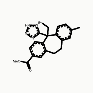 COC(=O)c1ccc2c(c1)CCc1cc(C)ccc1C2(CC(C)C)c1nn[nH]n1